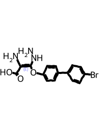 NN/C(Oc1ccc(-c2ccc(Br)cc2)cc1)=C(\N)C(=O)O